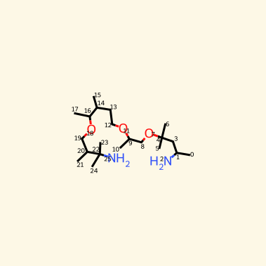 CC(N)CC(C)(C)OCC(C)OCCC(C)C(C)OCC(C)C(C)(C)N